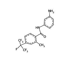 Cc1cc(C(F)(C(F)(F)F)C(F)(F)F)ccc1C(=O)Nc1cccc(N)c1